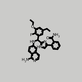 CCOc1cc(CC)cc(C(Nc2ccc3c(N)nccc3c2)c2nc(-c3ccccc3C(N)=O)c[nH]2)c1F